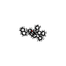 c1ccc(-n2c3c(c4ccccc42)-c2ccccc2C32c3ccccc3-c3ccc(-c4cccc(-c5cccc6ccccc56)c4)cc32)nc1